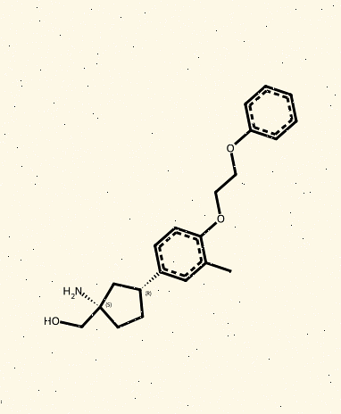 Cc1cc([C@@H]2CC[C@@](N)(CO)C2)ccc1OCCOc1ccccc1